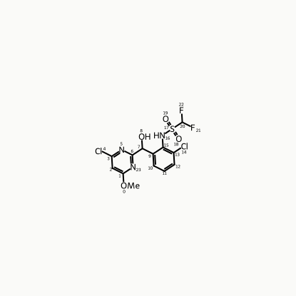 COc1cc(Cl)nc(C(O)c2cccc(Cl)c2NS(=O)(=O)C(F)F)n1